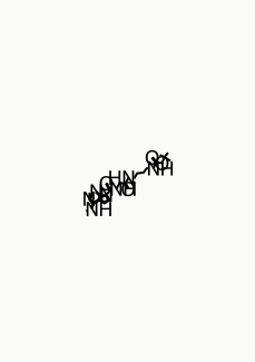 CNc1ncnc2c1ccn2C(=O)NCC(=O)NCCCCNC(=O)OC(C)(C)C